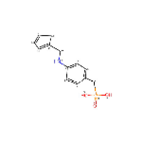 O=P(O)(O)Cc1ccc(NCC2=CC=CC2)cc1